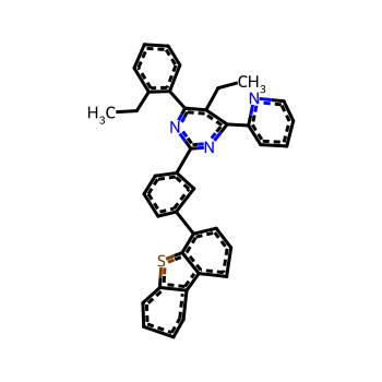 CCc1ccccc1-c1nc(-c2cccc(-c3cccc4c3sc3ccccc34)c2)nc(-c2ccccn2)c1CC